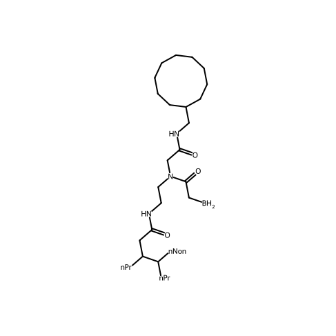 BCC(=O)N(CCNC(=O)CC(CCC)C(CCC)CCCCCCCCC)CC(=O)NCC1CCCCCCCCC1